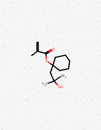 C=C(C)C(=O)OC1(CC(O)(C(F)(F)F)C(F)(F)F)CCCCC1